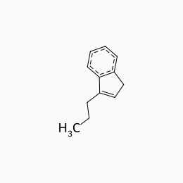 CCCC1=CCc2ccccc21